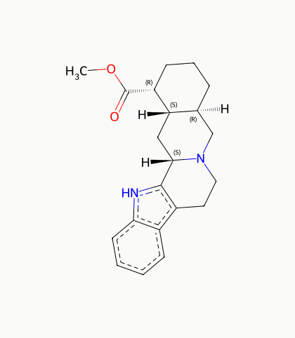 COC(=O)[C@@H]1CCC[C@H]2CN3CCc4c([nH]c5ccccc45)[C@@H]3C[C@@H]21